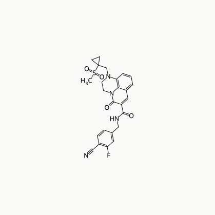 CS(=O)(=O)C1(CN2CCn3c(=O)c(C(=O)NCc4ccc(C#N)c(F)c4)cc4cccc2c43)CC1